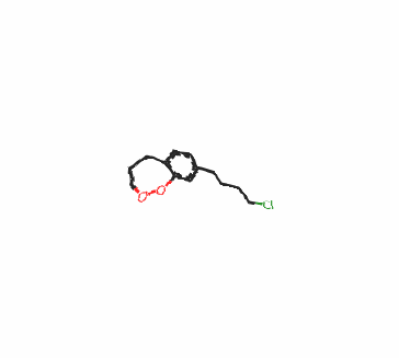 ClCCCCc1ccc2c(c1)OOCCC2